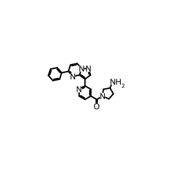 NC1CCN(C(=O)c2ccnc(-c3cnn4ccc(-c5ccccc5)nc34)c2)C1